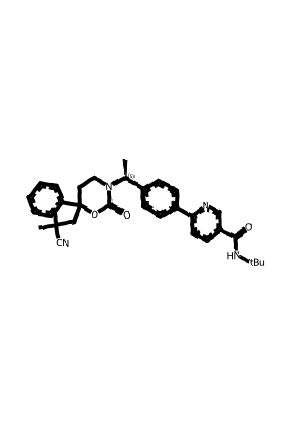 C[C@@H](c1ccc(-c2ccc(C(=O)NC(C)(C)C)cn2)cc1)N1CCC(CC(C)(C)C#N)(c2ccccc2)OC1=O